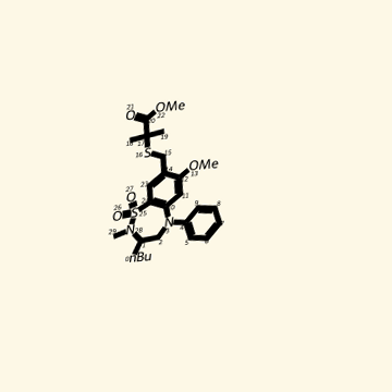 CCCCC1CN(c2ccccc2)c2cc(OC)c(CSC(C)(C)C(=O)OC)cc2S(=O)(=O)N1C